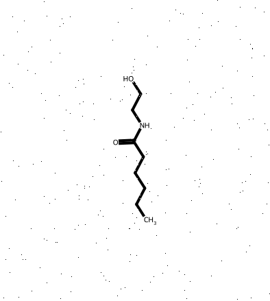 CCCCCC(=O)NCCO